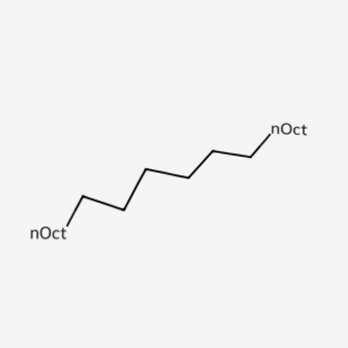 CCCCCC[CH]CCCCCCCCCCCCCCC